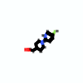 OCC1CCN(c2ccc(F)cn2)CC1